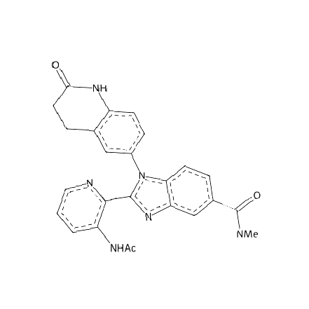 CNC(=O)c1ccc2c(c1)nc(-c1ncccc1NC(C)=O)n2-c1ccc2c(c1)CCC(=O)N2